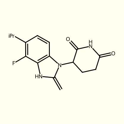 C=C1Nc2c(ccc(C(C)C)c2F)N1C1CCC(=O)NC1=O